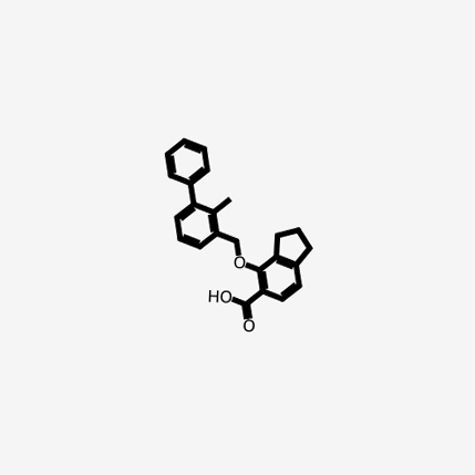 Cc1c(COc2c(C(=O)O)ccc3c2CCC3)cccc1-c1ccccc1